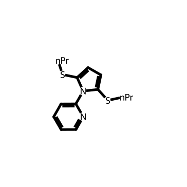 CCCSc1ccc(SCCC)n1-c1ccccn1